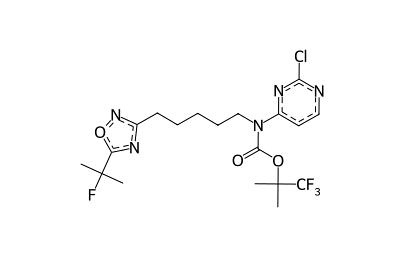 CC(C)(F)c1nc(CCCCCN(C(=O)OC(C)(C)C(F)(F)F)c2ccnc(Cl)n2)no1